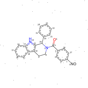 O=Nc1ccc(C(=O)N2CCc3c([nH]c4ccccc34)C2c2ccccc2)cc1